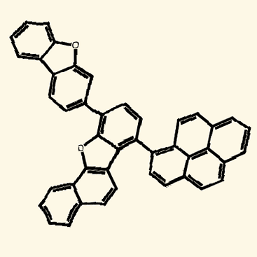 c1ccc2c(c1)ccc1c2oc2c(-c3ccc4c(c3)oc3ccccc34)ccc(-c3ccc4ccc5cccc6ccc3c4c56)c21